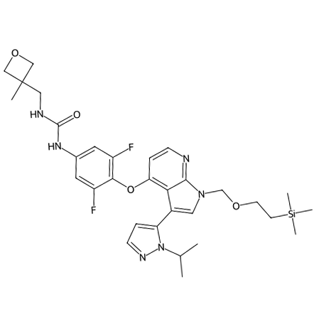 CC(C)n1nccc1-c1cn(COCC[Si](C)(C)C)c2nccc(Oc3c(F)cc(NC(=O)NCC4(C)COC4)cc3F)c12